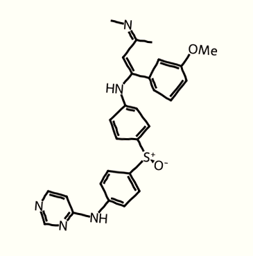 C/N=C(C)\C=C(\Nc1ccc([S@@+]([O-])c2ccc(Nc3ccncn3)cc2)cc1)c1cccc(OC)c1